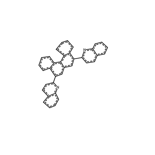 c1ccc2nc(-c3cc4cc(-c5ccc6ccccc6n5)c5ccccc5c4c4ccccc34)ccc2c1